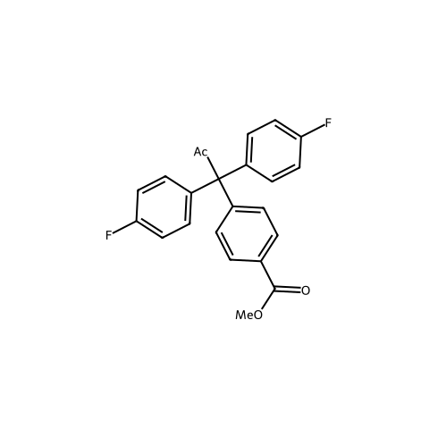 COC(=O)c1ccc(C(C(C)=O)(c2ccc(F)cc2)c2ccc(F)cc2)cc1